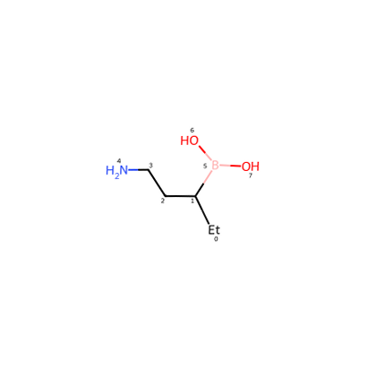 CCC(CCN)B(O)O